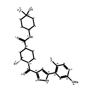 CC[C@@H]1C[C@@H](C(=O)NC2CCC(O)(C(F)(F)F)CC2)CCN1C(=O)c1cc(-c2cc(OC)ncc2F)[nH]n1